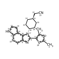 Cc1nc(C)c(-c2nc3cnc4[nH]ccc4c3n2[C@H]2CC[C@H](CC#N)CC2)s1